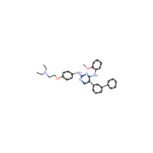 CCN(CC)CCOc1ccc(Nc2ncc(-c3cccc(-c4ccccc4)c3)c(Nc3ccccc3OC)n2)cc1